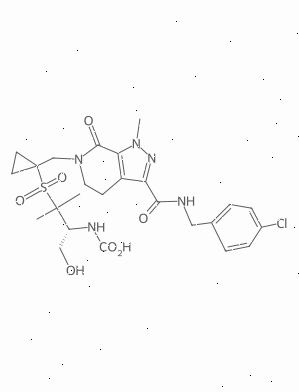 Cn1nc(C(=O)NCc2ccc(Cl)cc2)c2c1C(=O)N(CC1(S(=O)(=O)C(C)(C)[C@@H](CO)NC(=O)O)CC1)CC2